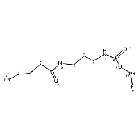 O=C(CCCS)NCCCNC(=O)OPF